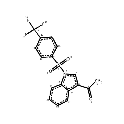 CC(=O)c1cn(S(=O)(=O)c2ccc(C(F)(F)F)cc2)c2ccccc12